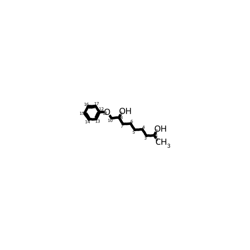 CC(O)CCCCCC(O)COc1ccccc1